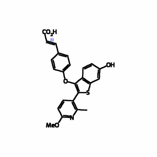 COc1ccc(-c2sc3cc(O)ccc3c2Oc2ccc(/C=C/C(=O)O)cc2)c(C)n1